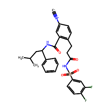 [C-]#[N+]c1ccc(CCC(=O)NS(=O)(=O)c2ccc(F)c(F)c2)c(C(=O)NC(CC(C)C)c2ccccc2)c1